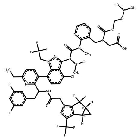 CCc1ccc(-c2ccc(Cl)c3c(N(C(=O)N(C)c4ncccc4CN(CC(=O)O)C(=O)OCOP(O)O)[S+](C)[O-])nn(CC(F)(F)F)c23)c(C(Cc2cc(F)cc(F)c2)NC(=O)Cn2nc(C(F)(F)F)c3c2C(F)(F)[C@@H]2C[C@H]32)n1